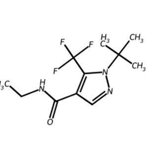 CCNC(=O)c1cnn(C(C)(C)C)c1C(F)(F)F